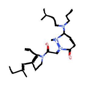 C=CC1=C(/C=C(\C)CC)CCN1C(=O)CN1C(=O)C=CC(N(CCC)CCC(C)C)N1C